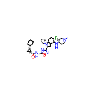 CN1CC[C@H](Nc2cccc3c2cc(-c2noc(CNC(=O)[C@@H]4C[C@H]4c4ccccc4)n2)n3CC(F)(F)F)[C@H](F)C1